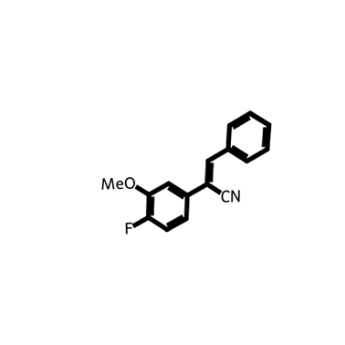 COc1cc(C(C#N)=Cc2ccccc2)ccc1F